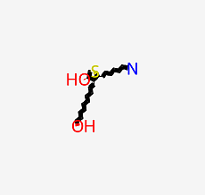 N#CCCCCCC[C@H]1SC[C@@H](O)[C@H]1C=CCCCCCCCCO